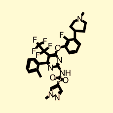 Cc1ccccc1-c1nc(NS(=O)(=O)c2cnn(C)c2)nc(Oc2cccc(C3CCN(C)CC3)c2F)c1C(F)(F)C(F)(F)F